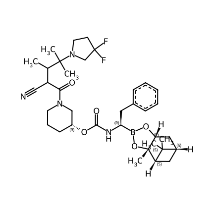 CC(C(C#N)C(=O)N1CCC[C@@H](OC(=O)N[C@@H](Cc2ccccc2)B2O[C@@H]3C[C@@H]4C[C@@H](C4(C)C)[C@]3(C)O2)C1)C(C)(C)N1CCC(F)(F)C1